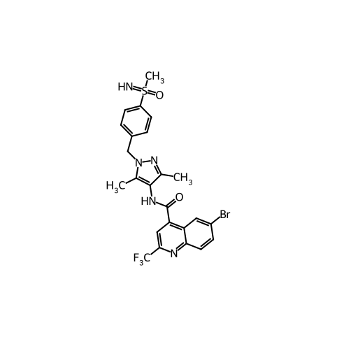 Cc1nn(Cc2ccc(S(C)(=N)=O)cc2)c(C)c1NC(=O)c1cc(C(F)(F)F)nc2ccc(Br)cc12